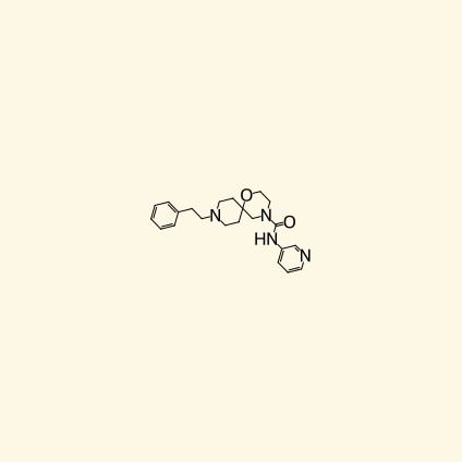 O=C(Nc1cccnc1)N1CCOC2(CCN(CCc3ccccc3)CC2)C1